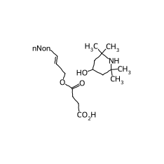 CC1(C)CC(O)CC(C)(C)N1.CCCCCCCCCC=CCOC(=O)CCC(=O)O